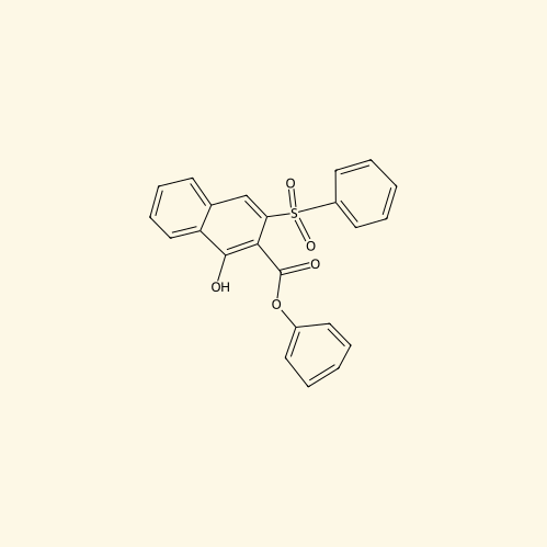 O=C(Oc1ccccc1)c1c(S(=O)(=O)c2ccccc2)cc2ccccc2c1O